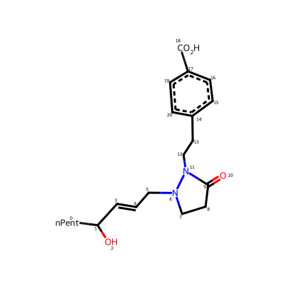 CCCCCC(O)/C=C/CN1CCC(=O)N1CCc1ccc(C(=O)O)cc1